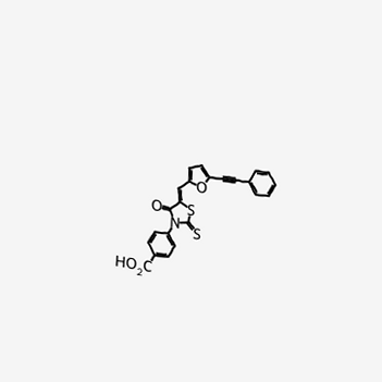 O=C(O)c1ccc(N2C(=O)C(=Cc3ccc(C#Cc4ccccc4)o3)SC2=S)cc1